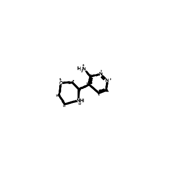 Nc1nnccc1C1COCCN1